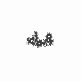 CCC1(C)CC(=O)N(C(CCOC)c2cccc(C(=O)NC3c4ccccc4C4(CC4)C3O)c2)C(=N)N1